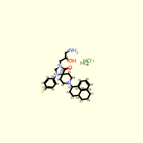 Cl.Cl.NCC(O)CN1CN(c2ccc(F)cc2)C2(CCN(C3CCC4CCCc5cccc3c54)CC2)C1=O